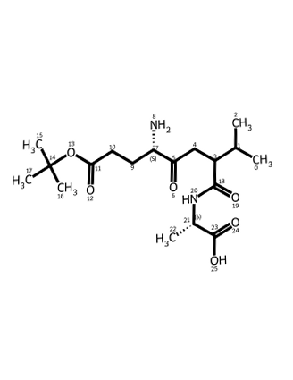 CC(C)C(CC(=O)[C@@H](N)CCC(=O)OC(C)(C)C)C(=O)N[C@@H](C)C(=O)O